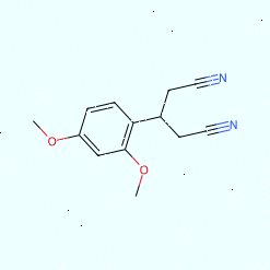 COc1ccc(C(CC#N)CC#N)c(OC)c1